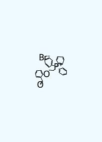 O=Cc1ccccc1OCC[P+](c1ccccc1)(c1ccccc1)c1ccccc1.[Br-]